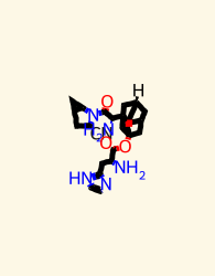 N#C[C@@H]1CC2CC2N1C(=O)[C@@H](N)C12CC3C[C@H](CC(OC(=O)C(N)Cc4ncc[nH]4)(C3)C1)C2